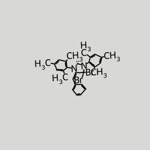 Cc1cc(C)c(N2[C]N(c3c(C)cc(C)cc3C)C(Br)(Br)C2=Cc2ccccc2)c(C)c1